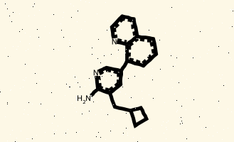 Nc1ncc(-c2cccc3cccnc23)cc1CC1CCC1